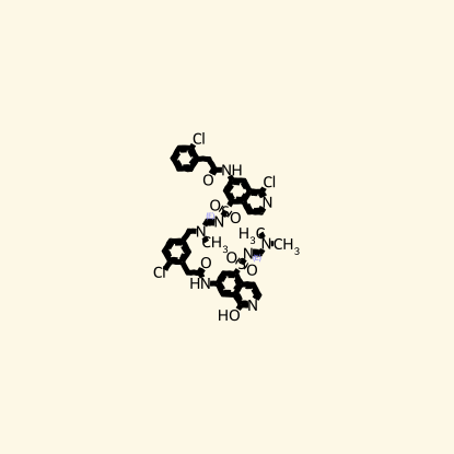 CN(C)/C=N/S(=O)(=O)c1cc(NC(=O)Cc2cc(CN(C)/C=N/S(=O)(=O)c3cc(NC(=O)Cc4ccccc4Cl)cc4c(Cl)nccc34)ccc2Cl)cc2c(O)nccc12